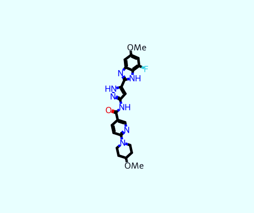 COc1cc(F)c2[nH]c(-c3cc(NC(=O)c4ccc(N5CCC(OC)CC5)nc4)n[nH]3)nc2c1